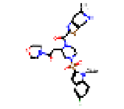 COn1c(S(=O)(=O)N2CCN(C(=O)c3nc4c(s3)CNC(C)C4)C(CC(=O)N3CCOCC3)C2)cc2cc(Cl)ccc21